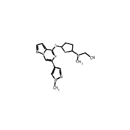 CN(CC#N)C1CCC(Oc2nc(-c3cnn(C)c3)cn3nccc23)C1